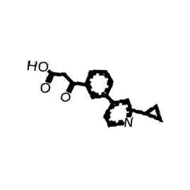 O=C(O)CC(=O)c1cccc(-c2ccnc(C3CC3)c2)c1